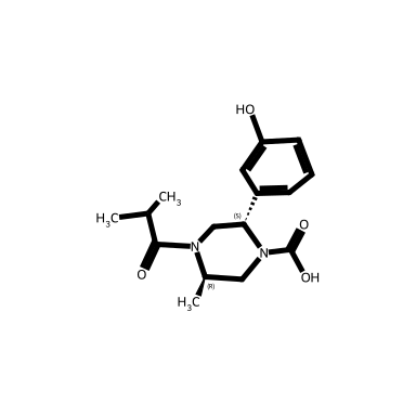 CC(C)C(=O)N1C[C@H](c2cccc(O)c2)N(C(=O)O)C[C@H]1C